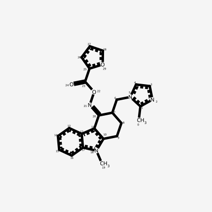 Cc1nccn1CC1CCc2c(c3ccccc3n2C)C1=NOC(=O)c1ccco1